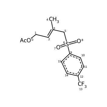 CC(=O)OCC=C(C)CS(=O)(=O)c1ccc(C(F)(F)F)cc1